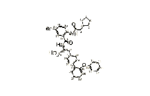 O=C(CC1CCCC1)Nc1ccc(Br)cc1C(=O)N[C@@H](Cc1ccc(-c2ccccc2Oc2ccccc2)cc1)C(=O)O